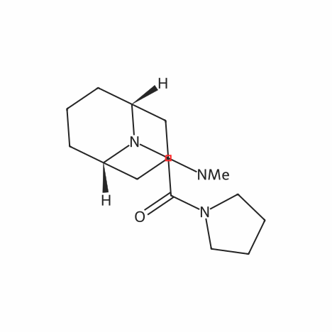 CNC1C[C@H]2CCC[C@@H](C1)N2CC(=O)N1CCCC1